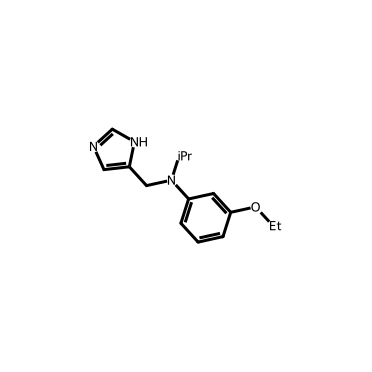 CCOc1cccc(N(Cc2cnc[nH]2)C(C)C)c1